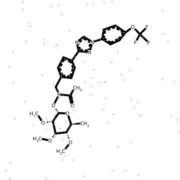 CO[C@@H]1[C@H](OC)[C@H](ON(Cc2ccc(-c3ncn(-c4ccc(OC(F)(F)F)cc4)n3)cc2)C(C)=O)O[C@@H](C)[C@@H]1OC